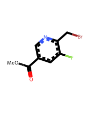 COC(=O)c1cnc(CBr)c(F)c1